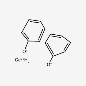 [GeH2+2].[O-]c1ccccc1.[O-]c1ccccc1